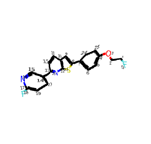 FCCOC1=CC=C(c2cc3ccc(C4C=NC(F)=CC4)nc3s2)CC1